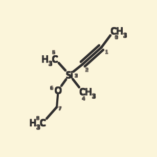 CC#C[Si](C)(C)OCC